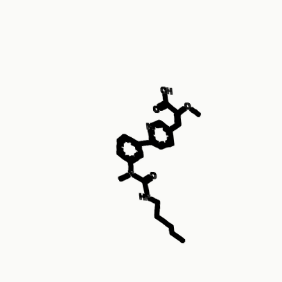 CCCCCNC(=O)N(C)c1cccc(-c2ccc(/C=C(/OC)C(=O)O)cn2)c1